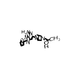 CC(O)CN1CCN(c2cc3nc(-c4ccco4)nn3c(N)n2)CC1